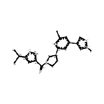 Cc1cc(-c2cnn(C)c2)cc([C@H]2CCN(C(=O)c3cc(C(C)C)n[nH]3)C2)n1